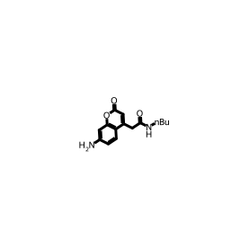 CCCCNC(=O)Cc1cc(=O)oc2cc(N)ccc12